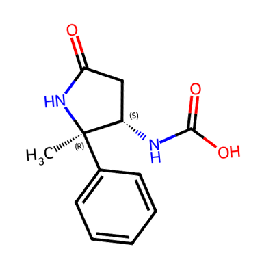 C[C@]1(c2ccccc2)NC(=O)C[C@@H]1NC(=O)O